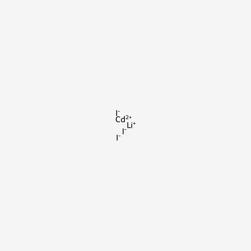 [Cd+2].[I-].[I-].[I-].[Li+]